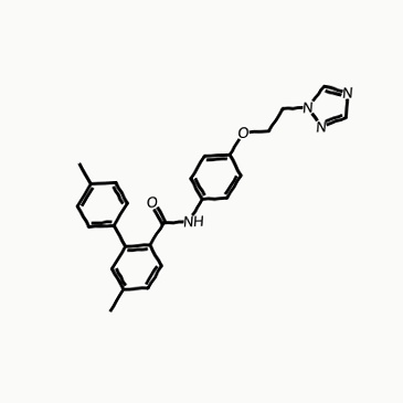 Cc1ccc(-c2cc(C)ccc2C(=O)Nc2ccc(OCCn3cncn3)cc2)cc1